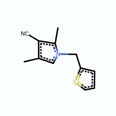 Cc1cn(Cc2cccs2)c(C)c1C#N